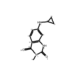 Cn1c(=O)[nH]c2cc(NC3CC3)ccc2c1=O